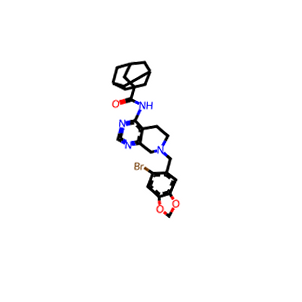 O=C(Nc1ncnc2c1CCN(Cc1cc3c(cc1Br)OCO3)C2)C12CC3CC(CC(C3)C1)C2